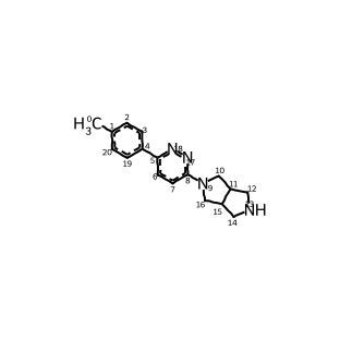 Cc1ccc(-c2ccc(N3CC4CNCC4C3)nn2)cc1